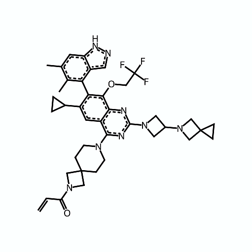 C=CC(=O)N1CC2(CCN(c3nc(N4CC(N5CC6(CC6)C5)C4)nc4c(OCC(F)(F)F)c(-c5c(C)c(C)cc6[nH]ncc56)c(C5CC5)cc34)CC2)C1